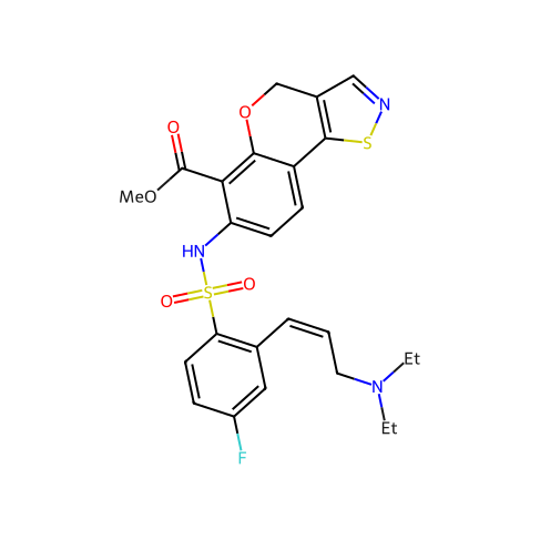 CCN(CC)C/C=C\c1cc(F)ccc1S(=O)(=O)Nc1ccc2c(c1C(=O)OC)OCc1cnsc1-2